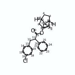 CN1[C@@H]2CC[C@H]1C[C@H](OC(=O)C(Cc1ccc(Cl)cc1)c1ccccc1)C2